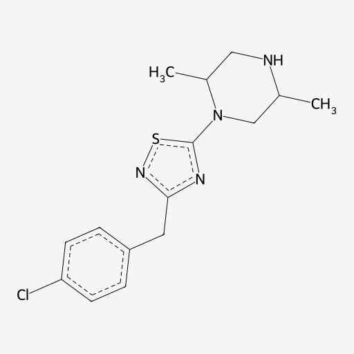 CC1CN(c2nc(Cc3ccc(Cl)cc3)ns2)C(C)CN1